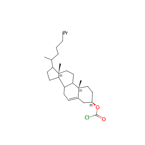 CC(C)CCCC(C)C1CCC2C3CC=C4C[C@H](OC(=O)Cl)CC[C@@]4(C)C3CC[C@@]12C